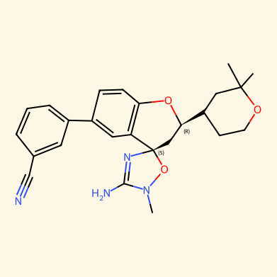 CN1O[C@]2(C[C@H](C3CCOC(C)(C)C3)Oc3ccc(-c4cccc(C#N)c4)cc32)N=C1N